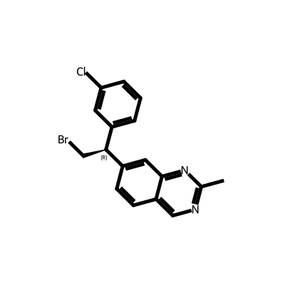 Cc1ncc2ccc([C@@H](CBr)c3cccc(Cl)c3)cc2n1